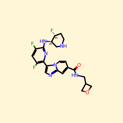 O=C(NCC1COC1)c1ccn2c(-c3nc(N[C@@H]4CNCC[C@H]4F)c(F)cc3F)cnc2c1